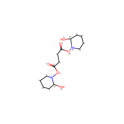 O=C(CCC(=O)ON1CCCCC1O)ON1CCCCC1O